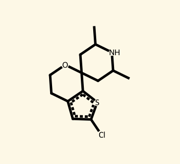 CC1CC2(CC(C)N1)OCCc1cc(Cl)sc12